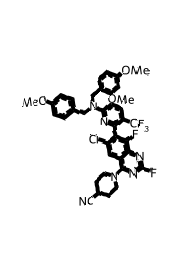 COc1ccc(CN(Cc2ccc(OC)cc2)c2nc(-c3c(Cl)cc4c(N5CCC(C#N)CC5)nc(F)nc4c3F)c(C(F)(F)F)cc2OC)cc1